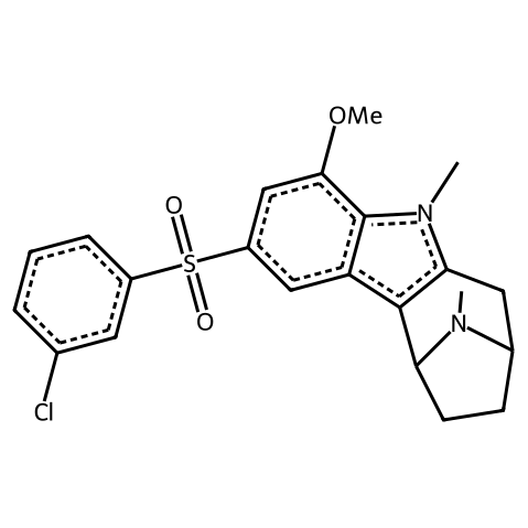 COc1cc(S(=O)(=O)c2cccc(Cl)c2)cc2c3c(n(C)c12)CC1CCC3N1C